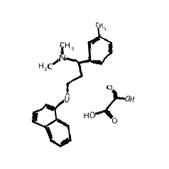 Cc1cccc(C(CCOc2cccc3ccccc23)N(C)C)c1.O=C(O)C(=O)O